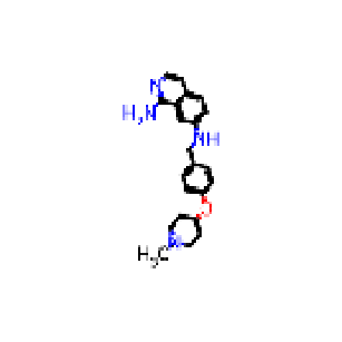 CN1CCC(Oc2ccc(CNc3ccc4ccnc(N)c4c3)cc2)CC1